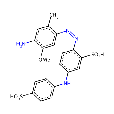 COc1cc(/N=N\c2ccc(Nc3ccc(S(=O)(=O)O)cc3)cc2S(=O)(=O)O)c(C)cc1N